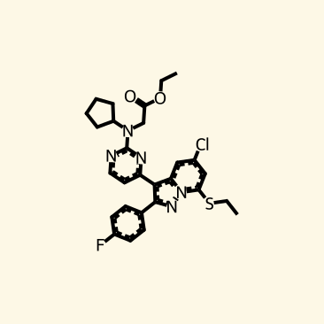 CCOC(=O)CN(c1nccc(-c2c(-c3ccc(F)cc3)nn3c(SCC)cc(Cl)cc23)n1)C1CCCC1